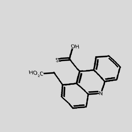 O=C(O)Cc1cccc2nc3ccccc3c(C(O)=S)c12